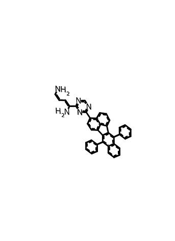 N/C=C\C=C(/N)c1ncnc(-c2ccc3c4c(cccc24)-c2c-3c(-c3ccccc3)c3ccccc3c2-c2ccccc2)n1